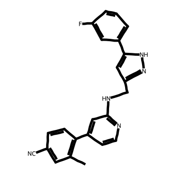 Cc1cc(C#N)ccc1-c1ccnc(NCc2cc(-c3cccc(F)c3)[nH]n2)c1